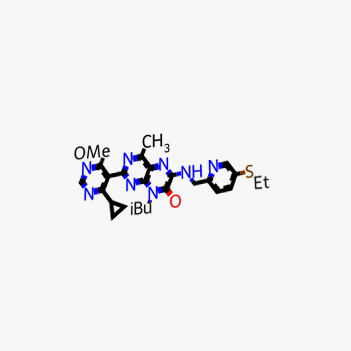 CCSc1ccc(CNc2nc3c(C)nc(-c4c(OC)ncnc4C4CC4)nc3n(C(C)CC)c2=O)nc1